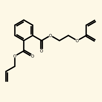 C=CCOC(=O)c1ccccc1C(=O)OCCOC(=C)C=C